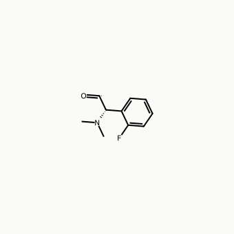 CN(C)[C@H]([C]=O)c1ccccc1F